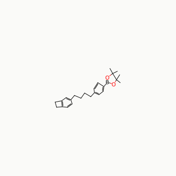 CC1(C)OB(c2ccc(CCCCc3ccc4c(c3)CC4)cc2)OC1(C)C